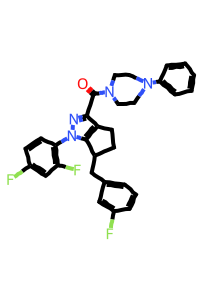 O=C(c1nn(-c2ccc(F)cc2F)c2c1CCC2Cc1cccc(F)c1)N1CCN(c2ccccc2)CC1